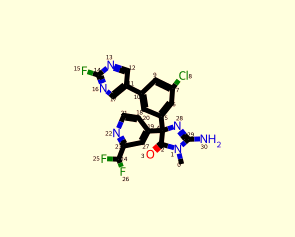 CN1C(=O)C(c2cc(Cl)cc(-c3cnc(F)nc3)c2)(c2ccnc(C(F)F)c2)N=C1N